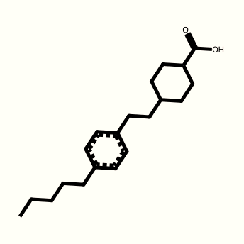 CCCCCc1ccc(CCC2CCC(C(=O)O)CC2)cc1